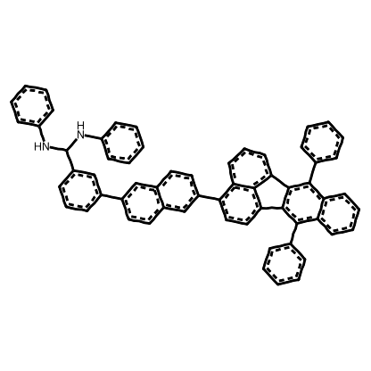 c1ccc(NC(Nc2ccccc2)c2cccc(-c3ccc4cc(-c5ccc6c7c(cccc57)-c5c-6c(-c6ccccc6)c6ccccc6c5-c5ccccc5)ccc4c3)c2)cc1